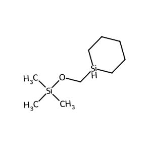 C[Si](C)(C)OC[SiH]1CCCCC1